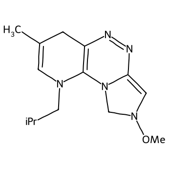 CON1C=C2N=NC3=C(N(CC(C)C)C=C(C)C3)N2C1